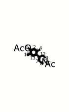 CC(=O)Oc1cc(C)c(C2=CCN(C(C)=O)CC2)cc1C